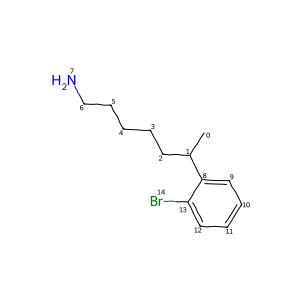 CC(CCCCCN)c1ccccc1Br